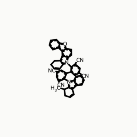 CC1CC=Cc2c1n(-c1c(C#N)cc(C#N)cc1-c1cc(C#N)cc(C#N)c1-n1c3c(c4c5c(ccc41)oc1ccccc15)CCC=C3)c1ccccc21